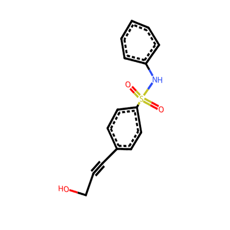 O=S(=O)(Nc1ccccc1)c1ccc(C#CCO)cc1